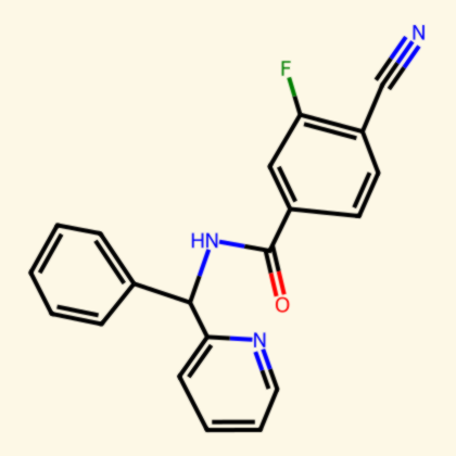 N#Cc1ccc(C(=O)NC(c2ccccc2)c2ccccn2)cc1F